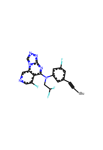 CC(C)(C)C#Cc1cc(F)cc(N(CC(F)F)c2nc3nncn3c3cncc(F)c23)c1